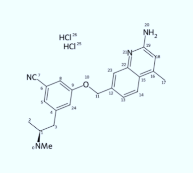 CN[C@@H](C)Cc1cc(C#N)cc(OCc2ccc3c(C)cc(N)nc3c2)c1.Cl.Cl